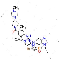 COc1cc(C(=O)N2CCC(N3CCN(C)CC3)CC2)c(C)cc1Nc1ncc(Br)c(Nc2ccc3nccnc3c2P(C)(C)=O)n1